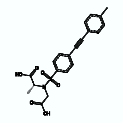 Cc1ccc(C#Cc2ccc(S(=O)(=O)N(CC(=O)O)[C@H](C)C(=O)O)cc2)cc1